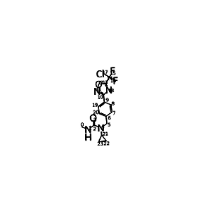 CNC(=O)N(Cc1ccc(-c2noc(C(F)(F)Cl)n2)cc1)C1CC1